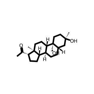 CC(=O)[C@H]1CC[C@H]2[C@@H]3CC[C@H]4C[C@](C)(O)CC[C@]4(CO)[C@H]3CC[C@]12C